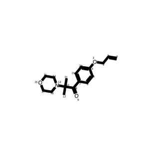 C=CCOc1ccc(C(=O)C(C)(C)N2CCOCC2)cc1